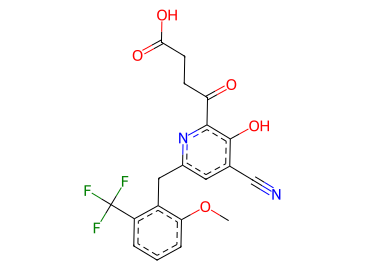 COc1cccc(C(F)(F)F)c1Cc1cc(C#N)c(O)c(C(=O)CCC(=O)O)n1